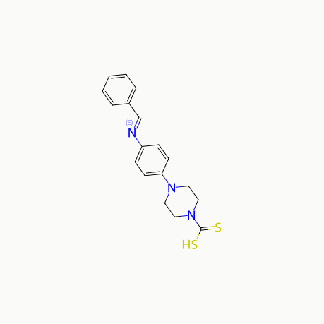 S=C(S)N1CCN(c2ccc(/N=C/c3ccccc3)cc2)CC1